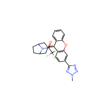 Cn1nnc(-c2ccc3c(c2)Oc2ccccc2C3=C2CC3CCC(C2)N3C(=O)C(F)(F)F)n1